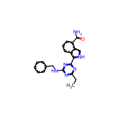 CCc1nc(NCc2ccccc2)nc(-c2[nH]cc3c(C(N)=O)cccc23)n1